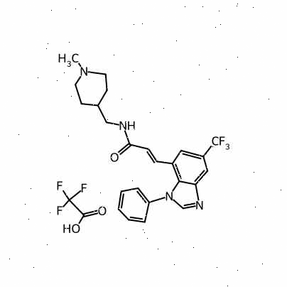 CN1CCC(CNC(=O)/C=C/c2cc(C(F)(F)F)cc3ncn(-c4ccccc4)c23)CC1.O=C(O)C(F)(F)F